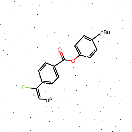 CCC/C=C(/F)c1ccc(C(=O)Oc2ccc(CCCC)cc2)cc1